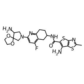 Cc1nc2sc(C(=O)NC3CCc4nc(N5CC(N)C6(C5)OCCO6)cc(F)c4C3)c(N)c2s1